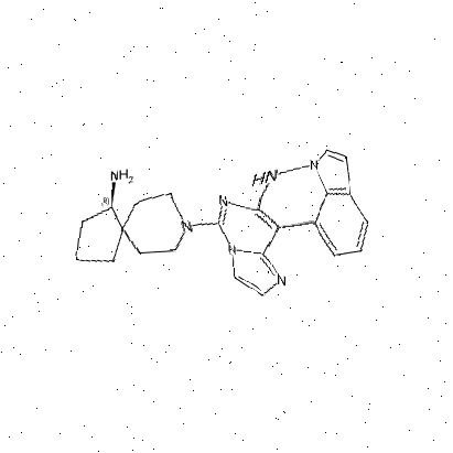 N[C@@H]1CCCC12CCN(c1nc3[nH]n4ccc5cccc(c3c3nccn13)c54)CC2